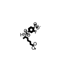 COC(=O)CCCCC(C)NS(=O)(=O)c1ccc([N+](=O)[O-])c(F)c1